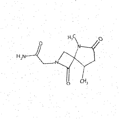 CC1CC(=O)N(C)C12CN(CC(N)=O)C2=O